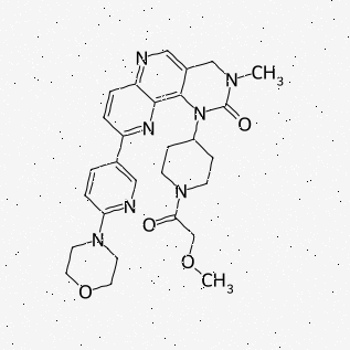 COCC(=O)N1CCC(N2C(=O)N(C)Cc3cnc4ccc(-c5ccc(N6CCOCC6)nc5)nc4c32)CC1